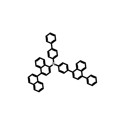 c1ccc(-c2ccc(N(c3ccc(-c4ccc(-c5ccccc5)c5ccccc45)cc3)c3ccc(-c4cccc5ccccc45)c4ccccc34)cc2)cc1